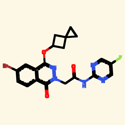 O=C(Cn1nc(OC2CC3(CC3)C2)c2cc(Br)ccc2c1=O)Nc1ncc(F)cn1